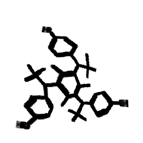 Cc1c(C(c2ccc(O)cc2)C(C)(C)C)c(C)c(C(c2ccc(O)cc2)C(C)(C)C)c(C)c1C(c1ccc(O)cc1)C(C)(C)C